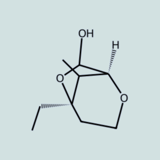 CC[C@]12CCO[C@H](C(O)O1)C2C